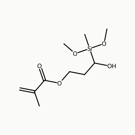 C=C(C)C(=O)OCCC(O)[Si](C)(OC)OC